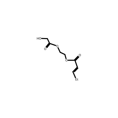 CCC=CC(=O)OCCOC(=O)CO